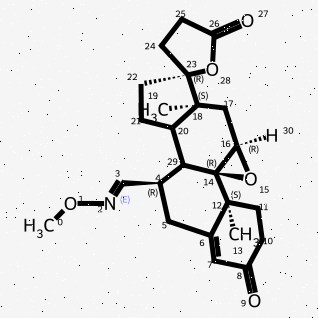 CO/N=C/[C@@H]1CC2=CC(=O)CC[C@]2(C)[C@@]23O[C@@H]2C[C@@]2(C)C(CC[C@@]24CCC(=O)O4)C13